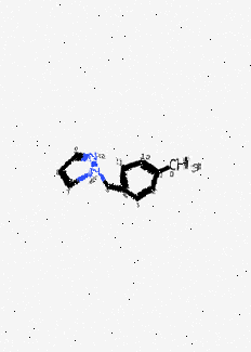 Cc1ccc(Cn2cc[c]n2)cc1